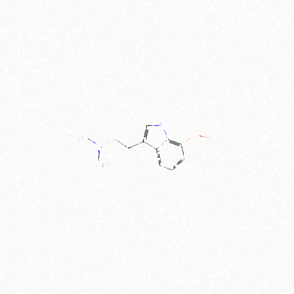 COc1cccc2c(CCN(C)C)c[nH]c12